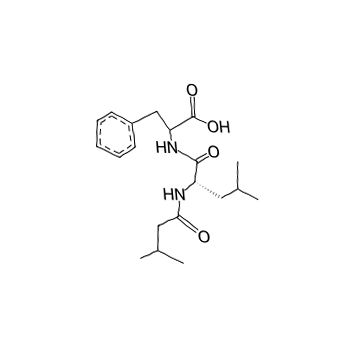 CC(C)CC(=O)N[C@@H](CC(C)C)C(=O)NC(Cc1ccccc1)C(=O)O